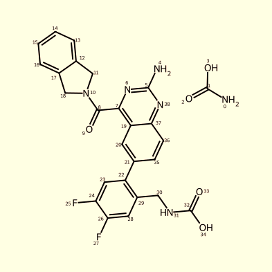 NC(=O)O.Nc1nc(C(=O)N2Cc3ccccc3C2)c2cc(-c3cc(F)c(F)cc3CNC(=O)O)ccc2n1